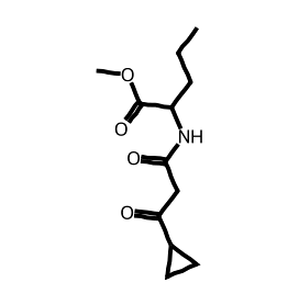 CCCC(NC(=O)CC(=O)C1CC1)C(=O)OC